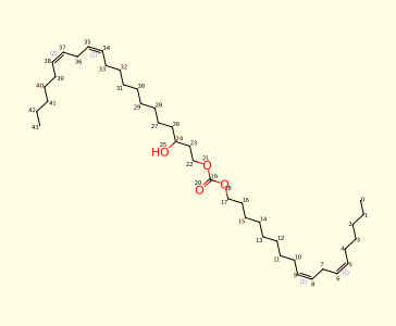 CCCCC/C=C\C/C=C\CCCCCCCCOC(=O)OCCC(O)CCCCCCCC/C=C\C/C=C\CCCCC